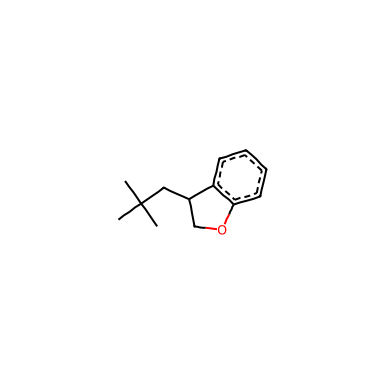 CC(C)(C)CC1COc2ccccc21